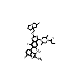 C=CC(=O)N1CC(C)N(c2nc(OCC34CCCN3CC(F)C4)nc3c(F)c(-c4ccc(F)c5sc(N)c(C#N)c45)c(C(F)(F)F)cc23)CC1C